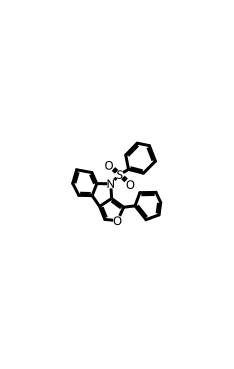 O=S(=O)(c1ccccc1)n1c2ccccc2c2coc(-c3ccccc3)c21